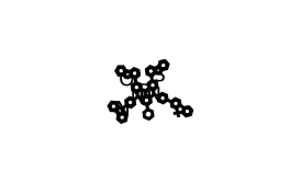 CC1(C)c2ccccc2-c2ccc(-c3ccc(N4c5ccc(-c6cccc7c6sc6ccccc67)cc5B5c6cc(-c7cccc8c7oc7ccccc78)ccc6N(c6ccc(-n7c8ccccc8c8ccccc87)cc6)c6cc(C7CCCCC7)cc4c65)cc3)cc21